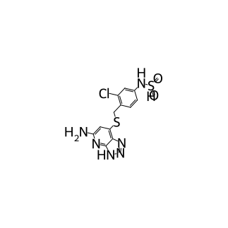 Nc1cc(SCc2ccc(N[SH](=O)=O)cc2Cl)c2nn[nH]c2n1